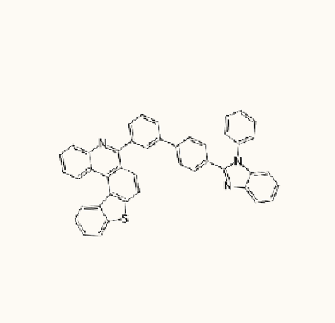 c1ccc(-n2c(-c3ccc(-c4cccc(-c5nc6ccccc6c6c5ccc5sc7ccccc7c56)c4)cc3)nc3ccccc32)cc1